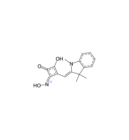 CN1C(=Cc2c(O)c(=O)/c2=N\O)C(C)(C)c2ccccc21